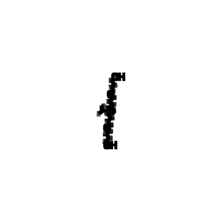 C=C(C)C.OCCCCOCCCCOCCCCOCCCCO